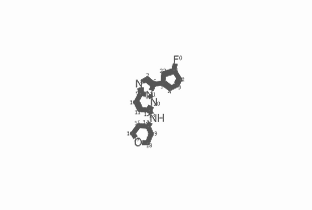 Fc1cccc(-c2cnc3ccc(NC4CCOCC4)nn23)c1